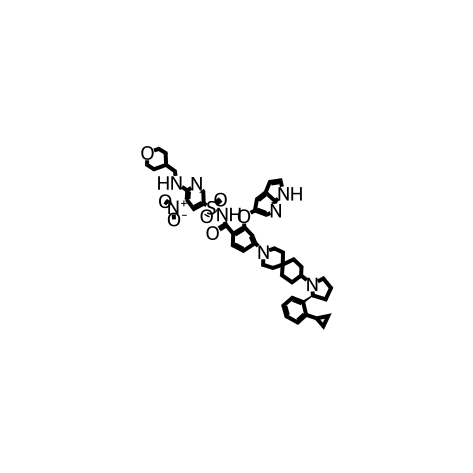 O=C(NS(=O)(=O)c1cnc(NCC2CCOCC2)c([N+](=O)[O-])c1)c1ccc(N2CCC3(CCC(N4CCC[C@H]4c4ccccc4C4CC4)CC3)CC2)cc1Oc1cnc2[nH]ccc2c1